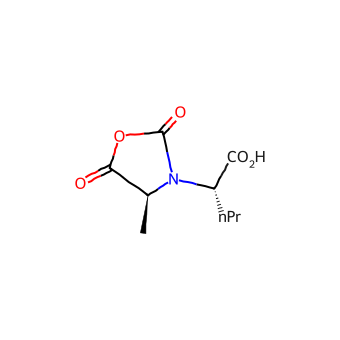 CCC[C@@H](C(=O)O)N1C(=O)OC(=O)[C@@H]1C